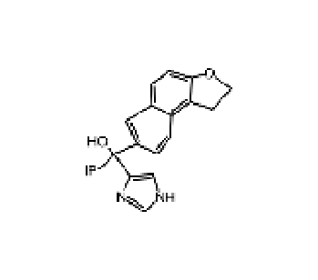 CC(C)C(O)(c1ccc2c3c(ccc2c1)OCC3)c1c[nH]cn1